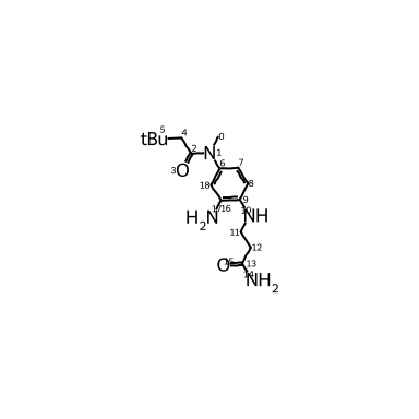 CN(C(=O)CC(C)(C)C)c1ccc(NCCC(N)=O)c(N)c1